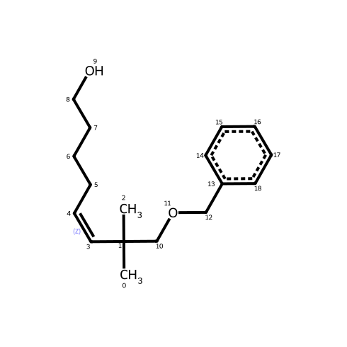 CC(C)(/C=C\CCCCO)COCc1ccccc1